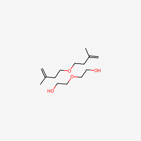 C=C(C)CCOCCC(=C)C.OCCOCCO